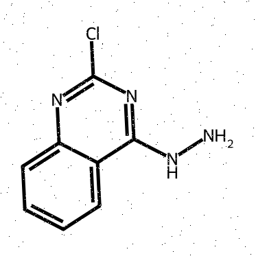 NNc1nc(Cl)nc2ccccc12